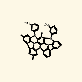 Cc1cc2c3c(c1)c1cc(C)cc4c1n3-c1c(c(C)c3c5c1B4c1cccc4c6cccc(c6n-5c14)B3c1cccc(C(C)(C)C)c1)B2c1cccc(C(C)(C)C)c1